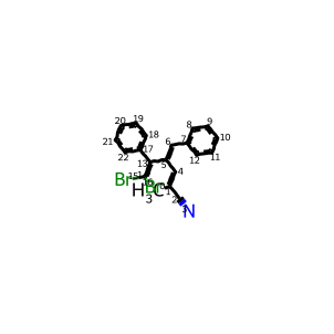 CC(C#N)=CC(=Cc1ccccc1)C(=C(Br)Br)c1ccccc1